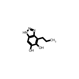 CCCc1c(O)c(O)cc2[nH]nnc12